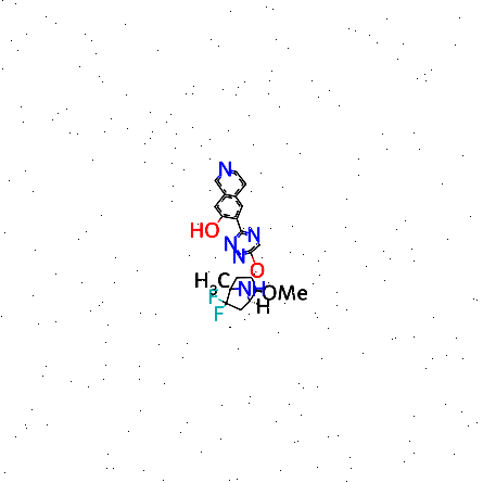 CO[C@@H]1[C@@H](Oc2cnc(-c3cc4ccncc4cc3O)nn2)C[C@@]2(C)N[C@@H]1CC2(F)F